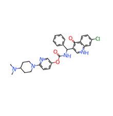 CN(C)C1CCN(c2ccc(OC(=O)NC(c3ccccc3)c3c[nH]c4cc(Cl)ccc4c3=O)cn2)CC1